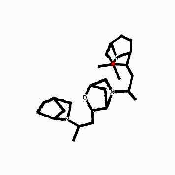 CC(CC1OC2CC1N(C(C)CC1CCC3CCC1N3C(C)C)C2)N1CC2CCC1C2